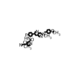 COc1ccc(CN(C)c2cc3ncc(-c4ccc(F)c(NC(=O)c5cc(C(C)(C)C#N)ccn5)c4)cc3cn2)cc1